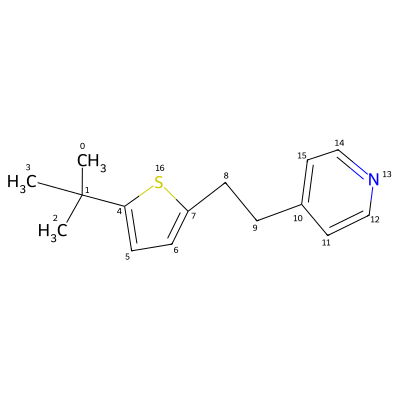 CC(C)(C)c1ccc(CCc2ccncc2)s1